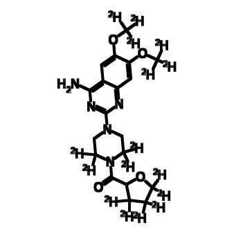 [2H]C([2H])([2H])Oc1cc2nc(N3CC([2H])([2H])N(C(=O)C4OC([2H])([2H])C([2H])([2H])C4([2H])[2H])C([2H])([2H])C3)nc(N)c2cc1OC([2H])([2H])[2H]